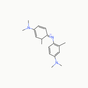 Cc1cc(N(C)C)ccc1/N=C1/C=CC(N(C)C)=CC1C